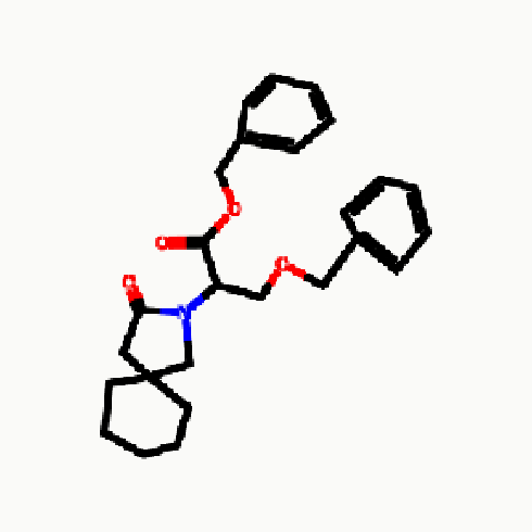 O=C(OCc1ccccc1)C(COCc1ccccc1)N1CC2(CCCCC2)CC1=O